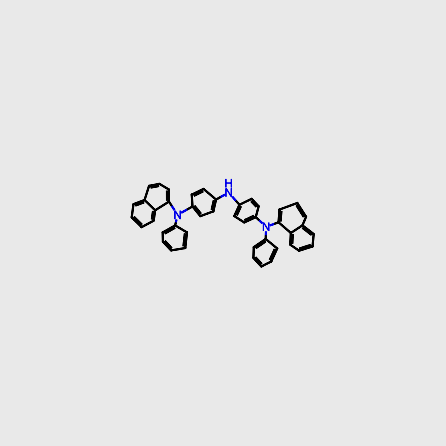 c1ccc(N(c2ccc(Nc3ccc(N(c4ccccc4)c4cccc5ccccc45)cc3)cc2)c2cccc3ccccc23)cc1